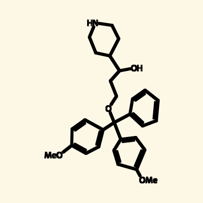 COc1ccc(C(OCCC(O)C2CCNCC2)(c2ccccc2)c2ccc(OC)cc2)cc1